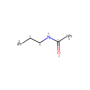 CCCC(=O)[N]CCC(C)C